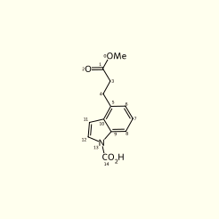 COC(=O)CCc1cccc2c1ccn2C(=O)O